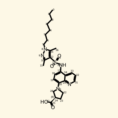 CCCCCCCCn1nc(C)c(S(=O)(=O)Nc2ccc(N3CC[C@@H](C(=O)O)C3)c3ncccc23)c1C